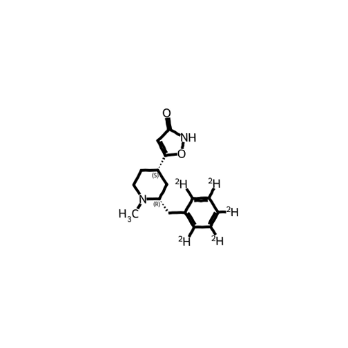 [2H]c1c([2H])c([2H])c(C[C@H]2C[C@@H](c3cc(=O)[nH]o3)CCN2C)c([2H])c1[2H]